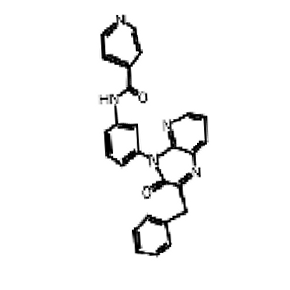 O=C(Nc1cccc(-n2c(=O)c(Cc3ccccc3)nc3cccnc32)c1)c1ccncc1